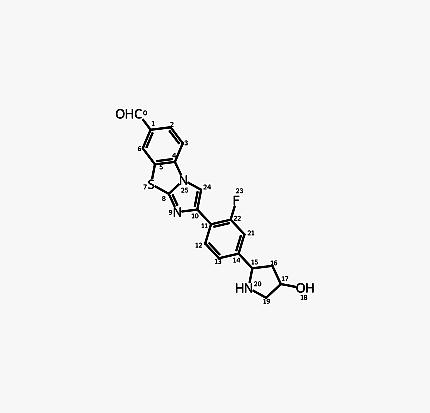 O=Cc1ccc2c(c1)sc1nc(-c3ccc(C4CC(O)CN4)cc3F)cn12